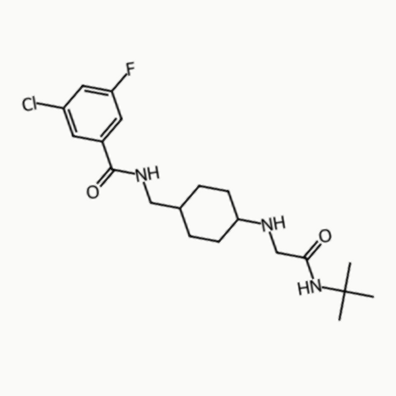 CC(C)(C)NC(=O)CNC1CCC(CNC(=O)c2cc(F)cc(Cl)c2)CC1